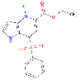 CCOC(=O)C1=CC(S(=O)(=O)c2ccccc2)c2[nH]ccc2N1Cl